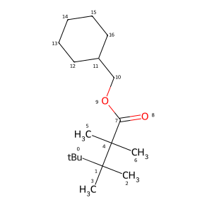 CC(C)(C)C(C)(C)C(C)(C)C(=O)OCC1CCCCC1